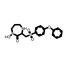 O=C1C(CS(=O)(=O)c2ccc(Oc3ccccc3)cc2)NCCCN1O